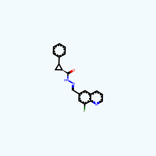 O=C(NN=Cc1cc(F)c2ncccc2c1)[C@H]1CC1c1ccccc1